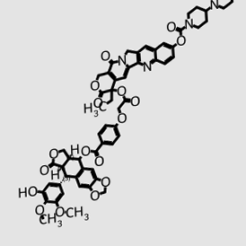 CCC1(OC(=O)COc2ccc(C(=O)OC3c4cc5c(cc4[C@H](c4cc(O)c(OC)c(OC)c4)[C@H]4C(=O)OC[C@@H]34)OCO5)cc2)C(=O)OCc2c1cc1n(c2=O)Cc2cc3cc(OC(=O)N4CCC(N5CCCCC5)CC4)ccc3nc2-1